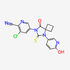 N#Cc1ncc(N2C(=O)C3(CCC3)N(c3ccc(O)nc3)C2=S)cc1Cl